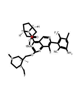 Cc1cc(N)c(C#N)c(-c2ncc3c(N4C[C@H]5CC[C@@H](C4)N5C(=O)OC(C)(C)C)nc(OC[C@]4(C)CN(C)CC[C@@H]4CF)nc3c2F)c1C(F)(F)F